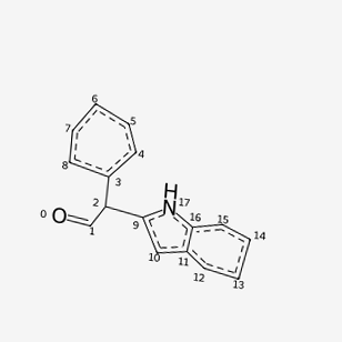 O=CC(c1ccccc1)c1cc2ccccc2[nH]1